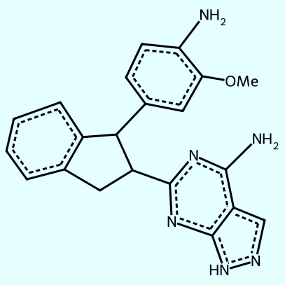 COc1cc(C2c3ccccc3CC2c2nc(N)c3cn[nH]c3n2)ccc1N